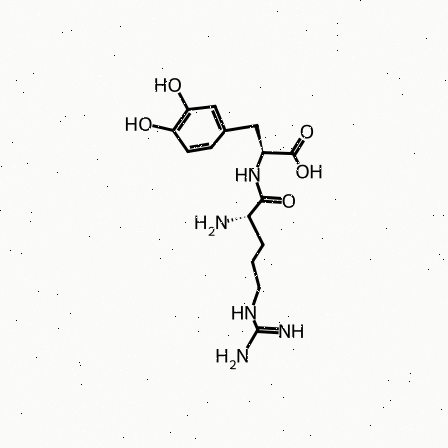 N=C(N)NCCC[C@H](N)C(=O)N[C@@H](Cc1ccc(O)c(O)c1)C(=O)O